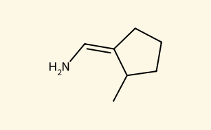 CC1CCC/C1=C/N